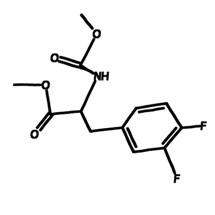 COC(=O)NC(Cc1ccc(F)c(F)c1)C(=O)OC